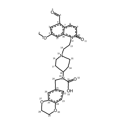 COc1cc(C=O)c2ccc(=O)n(CCN3CCC(N(Cc4ccc5c(c4)OCCO5)C(=O)O)CC3)c2c1